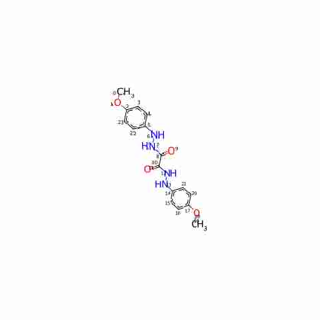 COc1ccc(NNC(=O)C(=O)NNc2ccc(OC)cc2)cc1